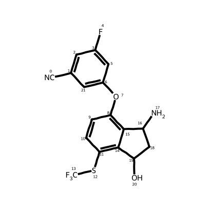 N#Cc1cc(F)cc(Oc2ccc(SC(F)(F)F)c3c2C(N)CC3O)c1